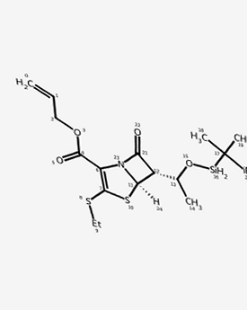 C=CCOC(=O)C1=C(SCC)S[C@@H]2[C@@H](C(C)O[SiH2]C(C)(C)C(C)C)C(=O)N12